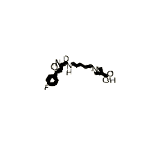 O=C(NCCCCCN1CC(C(=O)O)C1)c1cc(-c2ccc(F)cc2)on1